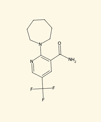 NC(=O)c1cc(C(F)(F)F)cnc1N1CCCCCC1